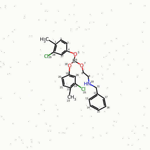 Cc1ccc(OB(OCCNCc2ccccc2)Oc2ccc(C)c(Cl)c2)cc1Cl